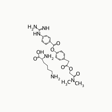 CN(C)C(=O)COC(=O)Cc1ccc(OC(=O)c2ccc(NC(=N)N)cc2)cc1.NCCCCC(N)C(=O)O